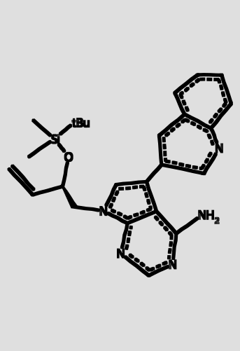 C=C[C@H](Cn1cc(-c2cnc3ccccc3c2)c2c(N)ncnc21)O[Si](C)(C)C(C)(C)C